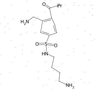 CC(C)C(=O)c1ccc(S(=O)(=O)NCCCCN)cc1CN